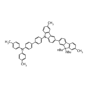 CCCCC1(CCCC)c2cc(C)ccc2-c2ccc(-c3ccc4c(c3)c3cc(C)ccc3n4-c3ccc(-c4ccc(N(c5ccc(C)cc5)c5ccc(C)cc5)cc4)cc3)cc21